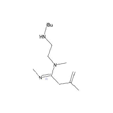 C=C(C)C/C(=N/C)N(C)CCNC(C)CC